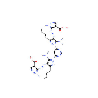 CCCCc1nn(-c2cc(-n3nc(CCCC)c(/N=N/c4c(C(=O)OC)cnn4C)c3N(C)C)ncn2)c(N(C)C)c1/N=N/c1c(C(=O)OC)cnn1C